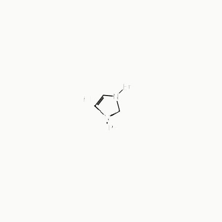 CCN1C=CN(C(C)C)C1.I